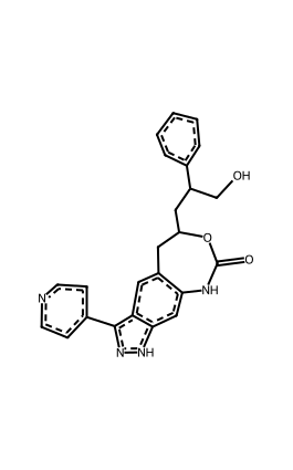 O=C1Nc2cc3[nH]nc(-c4ccncc4)c3cc2CC(CC(CO)c2ccccc2)O1